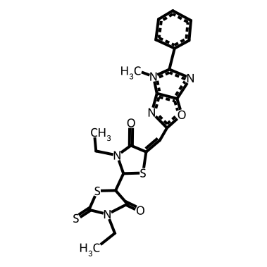 CCN1C(=O)C(C2S/C(=C/c3nc4c(nc(-c5ccccc5)n4C)o3)C(=O)N2CC)SC1=S